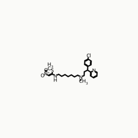 CS/C(=C\[N+](=O)[O-])NCCCCCCCN(C)CCC(c1ccc(Cl)cc1)c1ccccn1